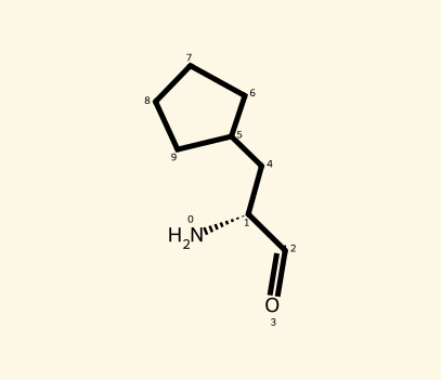 N[C@@H]([C]=O)CC1CCCC1